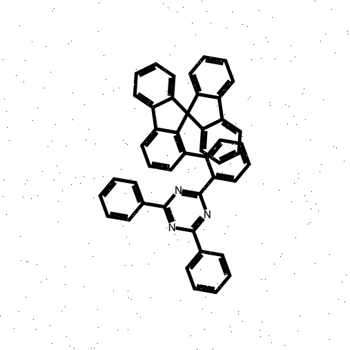 c1ccc(-c2nc(-c3ccccc3)nc(-c3ccccc3-c3cccc4c3C3(c5ccccc5-c5ccccc53)c3ccccc3-4)n2)cc1